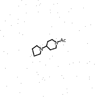 [CH2]C(=O)N1CCC(N2CCCC2)CC1